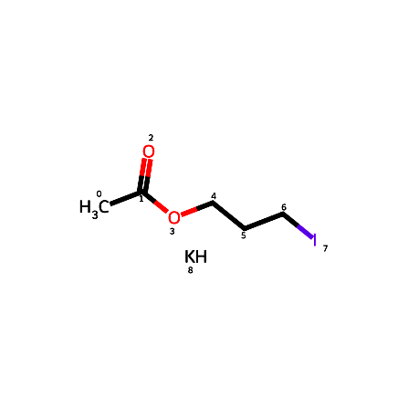 CC(=O)OCCCI.[KH]